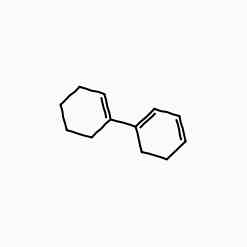 C1=CCCC(C2=CCCCC2)=C1